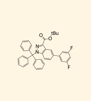 CC(C)(C)OC(=O)c1nn(C(c2ccccc2)(c2ccccc2)c2ccccc2)c2ccc(-c3cc(F)cc(F)c3)cc12